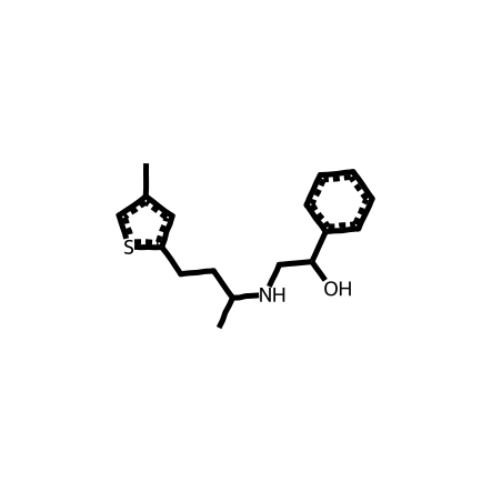 Cc1csc(CCC(C)NCC(O)c2ccccc2)c1